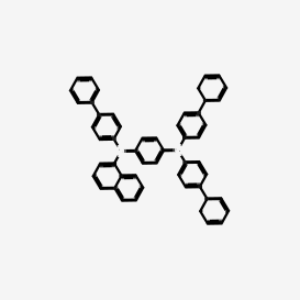 C1=CCC(c2ccc(N(c3ccc(C4C=CC=CC4)cc3)c3ccc(N(c4ccc(-c5ccccc5)cc4)c4cccc5ccccc45)cc3)cc2)C=C1